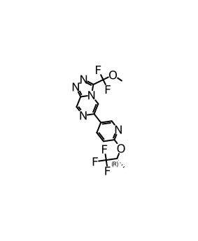 COC(F)(F)c1nnc2cnc(-c3ccc(O[C@H](C)C(F)(F)F)nc3)cn12